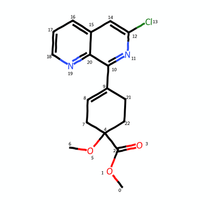 COC(=O)C1(OC)CC=C(c2nc(Cl)cc3cccnc23)CC1